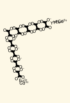 O=C([O-])C(=O)[O-].O=C([O-])C(=O)[O-].O=C([O-])C(=O)[O-].O=C([O-])C(=O)[O-].O=C([O-])C(=O)[O-].O=C([O-])C(=O)[O-].O=C([O-])C(=O)[O-].O=C([O-])C(=O)[O-].O=C([O-])C(=O)[O-].[Eu+3].[Eu+3].[Gd+3].[Gd+3].[Y+3].[Y+3]